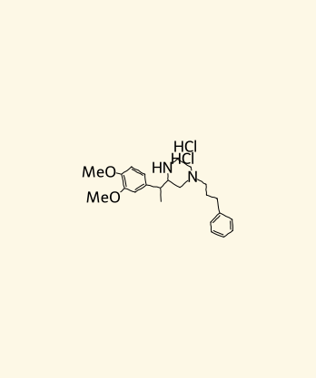 COc1ccc(C(C)C2CN(CCCc3ccccc3)CCN2)cc1OC.Cl.Cl